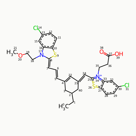 CCC1CC(/C=C/C=C2\Sc3ccc(Cl)cc3N2CCOC)=CC(=C/c2sc3ccc(Cl)cc3[n+]2CCC(=O)O)/C1